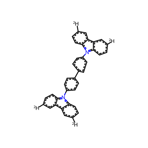 [2H]c1ccc2c(c1)c1cc([2H])ccc1n2-c1ccc(-c2ccc(-n3c4ccc([2H])cc4c4cc([2H])ccc43)cc2)cc1